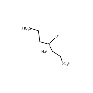 O=S(=O)(O)CCN([O-])CCS(=O)(=O)O.[Na+]